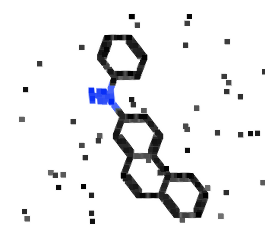 c1ccc(Nc2ccc3c(ccc4ccccc43)c2)cc1